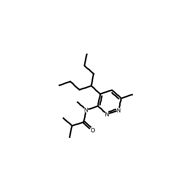 CCCC(CCC)c1cc(C)nnc1N(C)C(=O)C(C)C